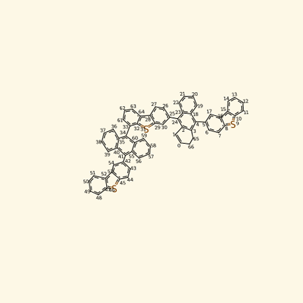 C1=Cc2c(c(-c3ccc4sc5ccccc5c4c3)c3ccccc3c2-c2ccc3c(c2)sc2c(-c4c5ccccc5c(-c5ccc6sc7ccccc7c6c5)c5ccccc45)cccc23)CC1